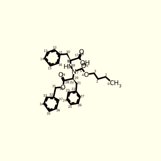 CCCCOC(=O)N(N[C@@H](Cc1ccccc1)C(=O)O)[C@@H](Cc1ccccc1)C(=O)OCc1ccccc1